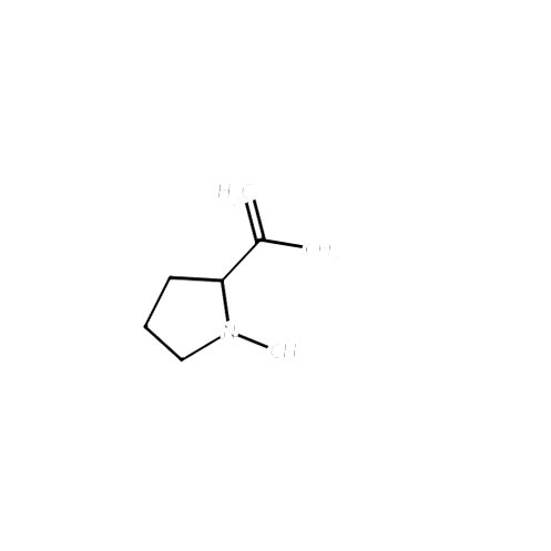 C=C(C)C1CCCN1C